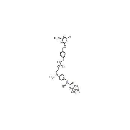 CN(CCOC(=O)NCc1ccc(COc2cc(Cl)nc(N)n2)cc1)c1ccc(/C=C(\C#N)C(=O)OC(C)(C)C)cc1